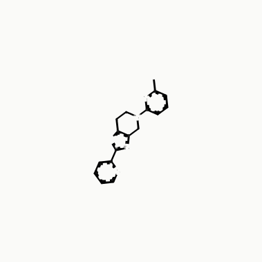 Cc1cccc(N2CCc3oc(-c4ccccn4)nc3C2)n1